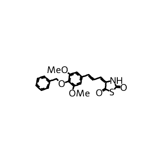 COc1cc(C=CC=C2NC(=O)SC2=O)cc(OC)c1OCc1ccccc1